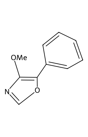 COc1ncoc1-c1ccccc1